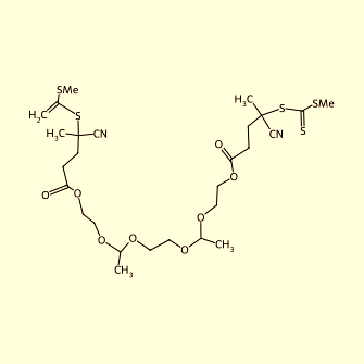 C=C(SC)SC(C)(C#N)CCC(=O)OCCOC(C)OCCOC(C)OCCOC(=O)CCC(C)(C#N)SC(=S)SC